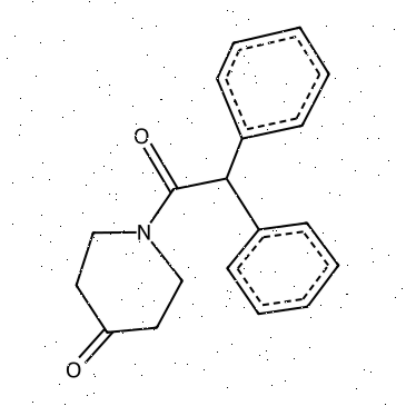 O=C1CCN(C(=O)C(c2ccccc2)c2ccccc2)CC1